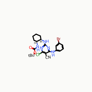 CC(C)(C)OC(=O)N[C@H]1CCCC[C@H]1Nc1nc(Cl)c(C#N)c(Nc2cccc(Br)c2)n1